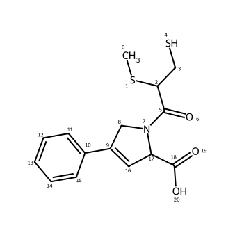 CSC(CS)C(=O)N1CC(c2ccccc2)=CC1C(=O)O